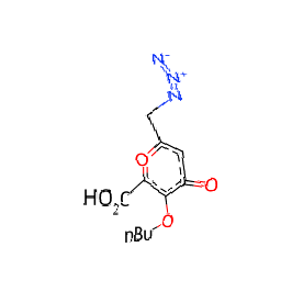 CCCCOc1c(C(=O)O)oc(CN=[N+]=[N-])cc1=O